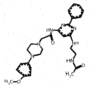 COc1ccc(N2CCN(CC(=O)Nc3cc(NCCNC(C)=O)nc(-c4ccccc4)n3)CC2)cc1